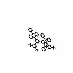 CC(C)(C)c1cc(-c2cc(-c3cc4c5c(c3)N(c3ccccc3)c3ccc(C(C)(C)C)cc3B5c3ccccc3N4c3ccccc3)cc(-c3c4ccccc4c(-c4ccccc4)c4ccccc34)c2)cc(C(C)(C)C)c1